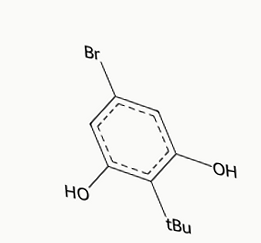 CC(C)(C)c1c(O)cc(Br)cc1O